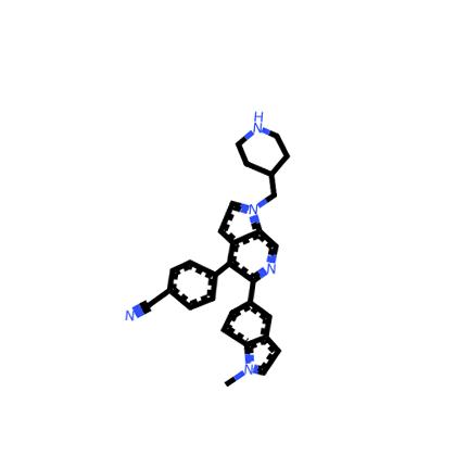 Cn1ccc2cc(-c3ncc4c(ccn4CC4CCNCC4)c3-c3ccc(C#N)cc3)ccc21